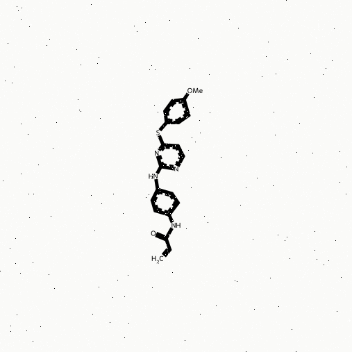 C=CC(=O)Nc1ccc(Nc2nccc(Sc3ccc(OC)cc3)n2)cc1